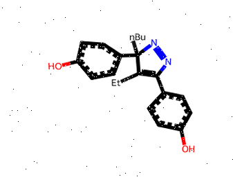 CCCCC1(c2ccc(O)cc2)N=NC(c2ccc(O)cc2)=C1CC